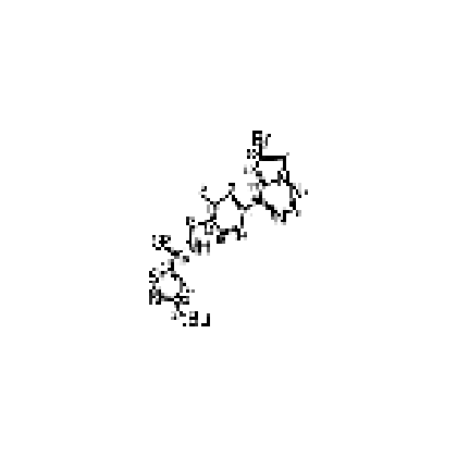 Cc1cc(-c2ncnn3cc(Br)cc23)ccc1CNC(=O)c1nc(C(C)(C)C)ns1